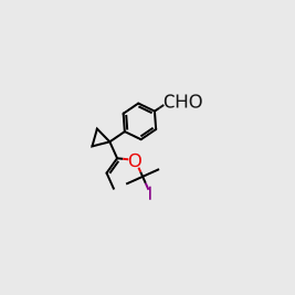 CC=C(OC(C)(C)I)C1(c2ccc(C=O)cc2)CC1